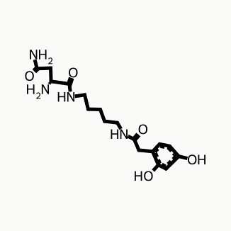 NC(=O)C[C@H](N)C(=O)NCCCCCNC(=O)Cc1ccc(O)cc1O